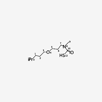 CC(C)CCCOCCCN(C)C(=O)S